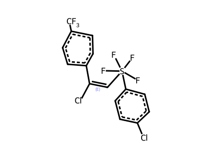 FC(F)(F)c1ccc(/C(Cl)=C\S(F)(F)(F)(F)c2ccc(Cl)cc2)cc1